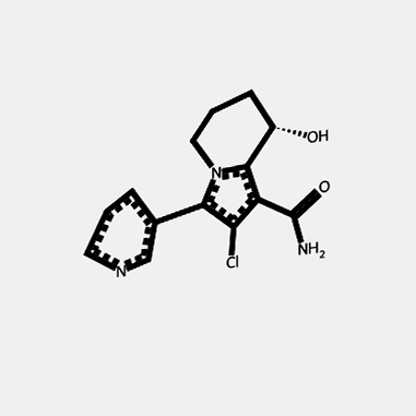 NC(=O)c1c(Cl)c(-c2cccnc2)n2c1[C@@H](O)CCC2